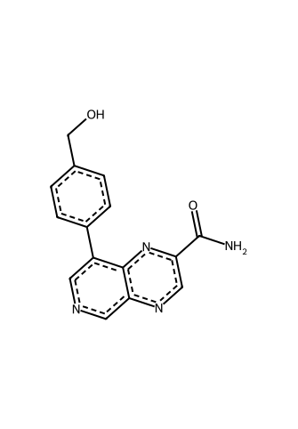 NC(=O)c1cnc2cncc(-c3ccc(CO)cc3)c2n1